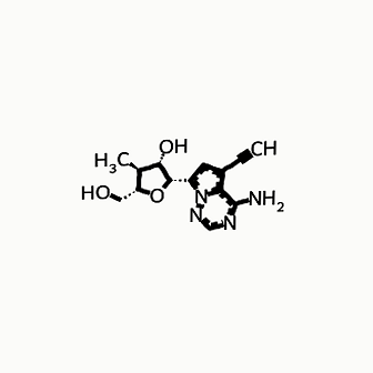 C#Cc1cc([C@@H]2O[C@H](CO)[C@@H](C)[C@@H]2O)n2ncnc(N)c12